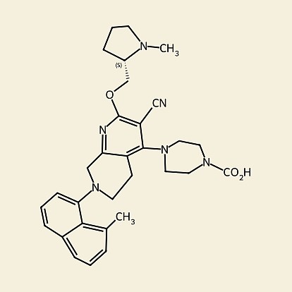 Cc1cccc2cccc(N3CCc4c(nc(OC[C@@H]5CCCN5C)c(C#N)c4N4CCN(C(=O)O)CC4)C3)c12